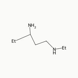 CCNCCC(N)CC